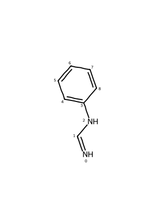 N=[C]Nc1ccccc1